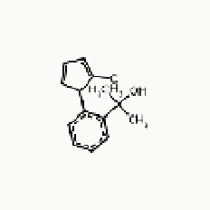 CC1=CC=CC1c1ccccc1C(C)(C)O